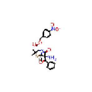 CC1(C)S[C@H]2N(C(=O)C2(N)C(=O)c2ccccc2)[C@H]1C(=O)OCc1ccc([N+](=O)[O-])cc1